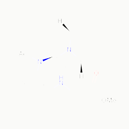 COC(=O)CNc1ccccc1N(C(C)=O)[C@@H]1C[C@H]2CCC[C@@H](C1)N2C1CCCCCCC1